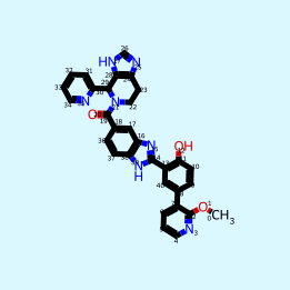 COc1ncccc1-c1ccc(O)c(-c2nc3cc(C(=O)N4CCc5nc[nH]c5C4c4ccccn4)ccc3[nH]2)c1